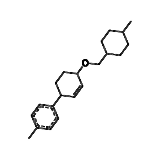 Cc1ccc(C2C=CC(OCC3CCC(C)CC3)CC2)cc1